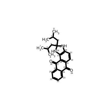 CC(C)CC1(CC(C)C)Nc2ccc3c(c2N1)C(=O)c1ccccc1C3=O